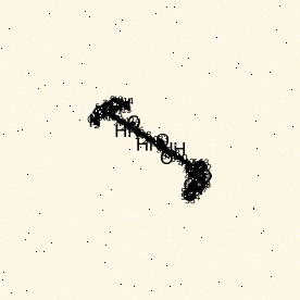 CN(C)c1ccc2cc3ccc(N(C)C)cc3[n+](CCCCCC(=O)NCCCCCNC(=O)CNC(=O)CCCCCN3C=CC4=C5c6oc7ccccc7[n+]6CCC5Oc5cccc3c54)c2c1